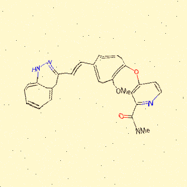 CNC(=O)c1cc(Oc2ccc(C=Cc3n[nH]c4ccccc34)cc2OC)ccn1